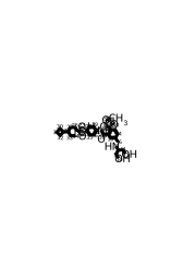 CN(c1ccc(CNC(CO)CO)cc1C(=O)Nc1ccc(S(=O)(=O)N2CCC(C3CCC3)CC2)cc1)S(C)(=O)=O